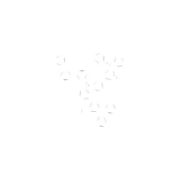 CCC1(CC)c2cc3c4ccccc4c4ccccc4c3cc2-c2c1ccc1c2c2ccc(-c3cnc4c5ccccc5n(-c5ccccc5)c4c3)cc2n1-c1cccc(-c2cccc3c2sc2ccccc23)c1